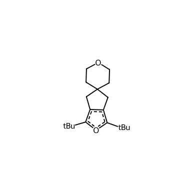 CC(C)(C)c1oc(C(C)(C)C)c2c1CC1(CCOCC1)C2